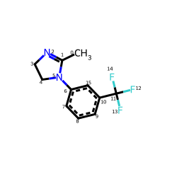 CC1=NCCN1c1cccc(C(F)(F)F)c1